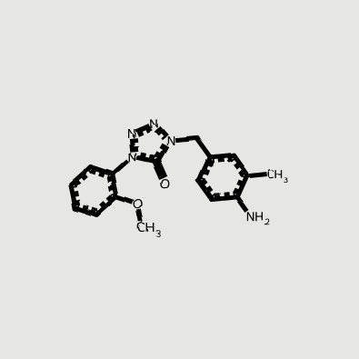 COc1ccccc1-n1nnn(Cc2ccc(N)c(C)c2)c1=O